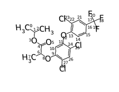 CC(C)OC(=O)C(C)Oc1cc(Oc2ccc(C(F)(F)F)cc2Cl)c(Cl)cc1Cl